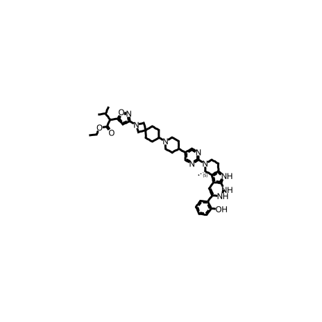 CCOC(=O)C(c1cc(N2CC3(CCC(N4CCC(c5cnc(N6CCc7[nH]c8c(c7[C@@H]6C)C=C(c6ccccc6O)NN8)nc5)CC4)CC3)C2)no1)C(C)C